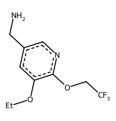 CCOc1cc(CN)cnc1OCC(F)(F)F